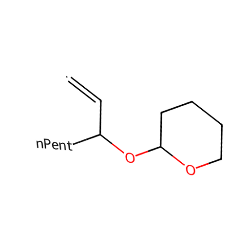 [CH]=CC(CCCCC)OC1CCCCO1